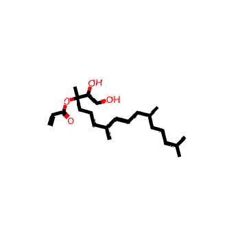 C=CC(=O)OC(C)(CCCC(C)CCCC(C)CCCC(C)C)C(O)CO